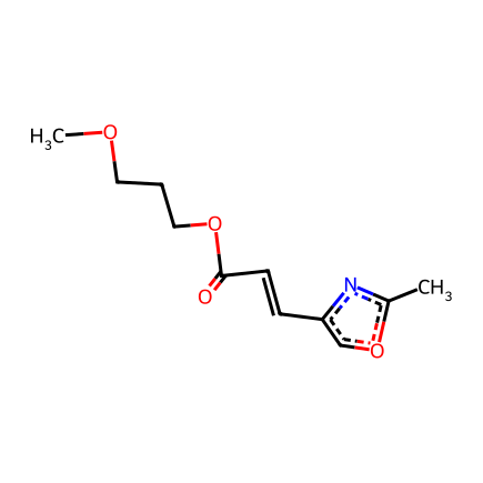 COCCCOC(=O)/C=C/c1coc(C)n1